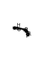 CC1(F)C=CC(c2ccc3c(c2)CN(CCCCCC(=O)NOCc2ccccc2)C3=O)C(F)=C1F